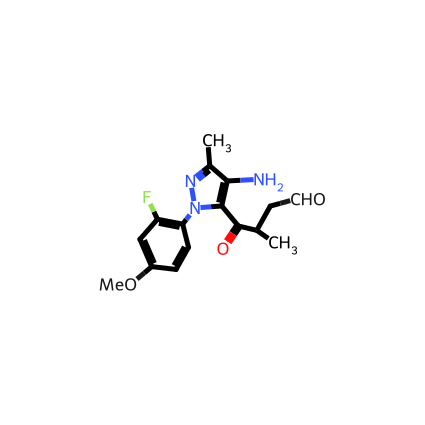 COc1ccc(-n2nc(C)c(N)c2C(=O)C(C)CC=O)c(F)c1